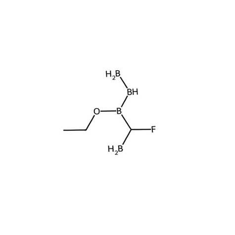 BBB(OCC)C(B)F